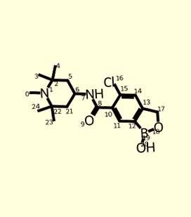 CN1C(C)(C)CC(NC(=O)c2cc3c(cc2Cl)COB3O)CC1(C)C